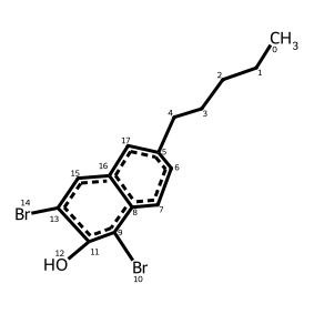 CCCCCc1ccc2c(Br)c(O)c(Br)cc2c1